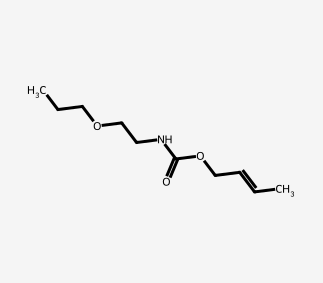 CC=CCOC(=O)NCCOCCC